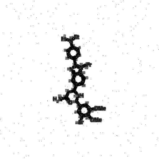 [CH2]CN(C[CH2])c1ccc(-c2nc3cc(C(CC(N)=O)NCc4cc(Br)c(OC)c(OC)c4)ccc3n2C(C)C)cc1